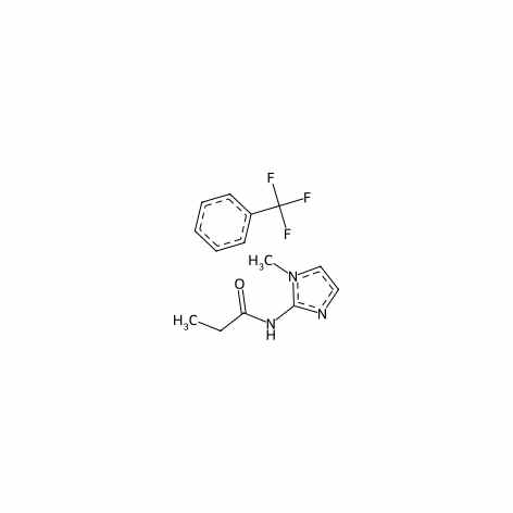 CCC(=O)Nc1nccn1C.FC(F)(F)c1ccccc1